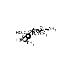 C[C@H]1CB(O)Oc2c1ccc(OC1CN(C[C@](C)(N)C(=O)NCCN)C1)c2C(=O)O